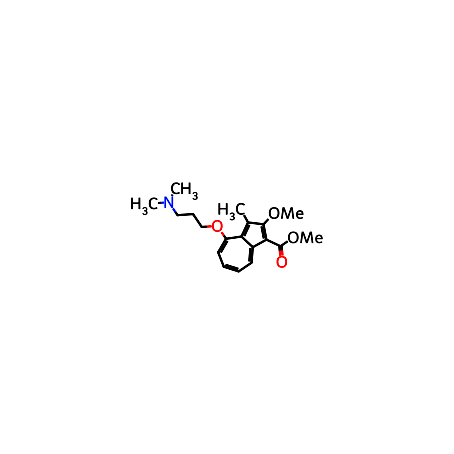 COC(=O)c1c2ccccc(OCCCN(C)C)c-2c(C)c1OC